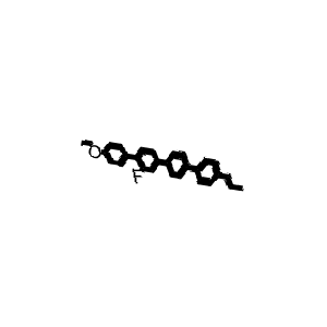 CCCc1ccc(-c2ccc(-c3ccc(-c4ccc(OCC)cc4)c(F)c3)cc2)cc1